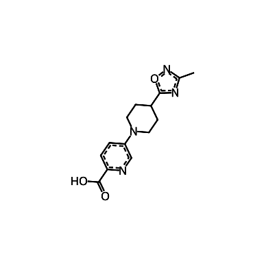 Cc1noc(C2CCN(c3ccc(C(=O)O)nc3)CC2)n1